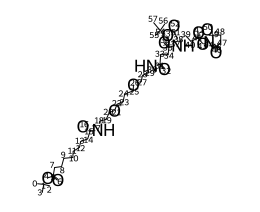 CC(C)(C)OC(=O)CCCCCCCCC(=O)NCCCOCCCCOCCCNC(=O)CCC(=O)N[C@@H](CCC(=O)ON1C(=O)CCC1=O)C(=O)OC(C)(C)C